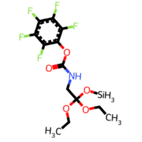 CCOC(CNC(=O)Oc1c(F)c(F)c(F)c(F)c1F)(O[SiH3])OCC